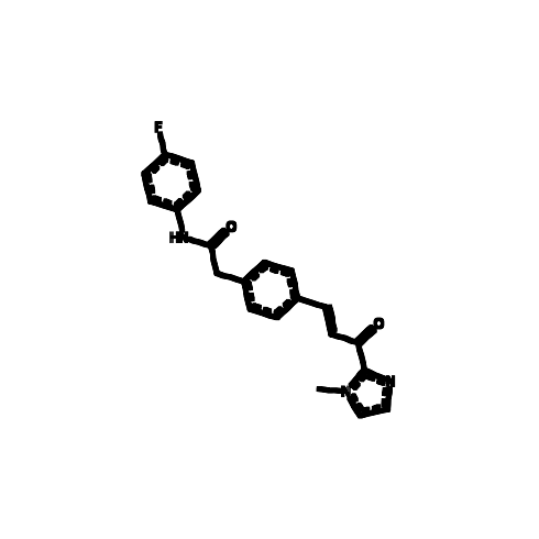 Cn1ccnc1C(=O)/C=C/c1ccc(CC(=O)Nc2ccc(F)cc2)cc1